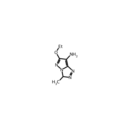 CCOc1nn2c(c1N)N=NC2C